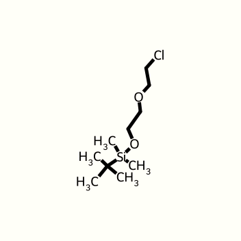 CC(C)(C)[Si](C)(C)OCCOCCCl